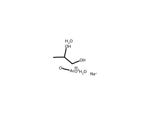 CC(=O)[O-].CC(O)CO.O.O.O.[Na+]